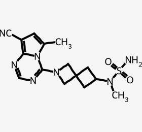 Cc1cc(C#N)c2ncnc(N3CC4(CC(N(C)S(N)(=O)=O)C4)C3)n12